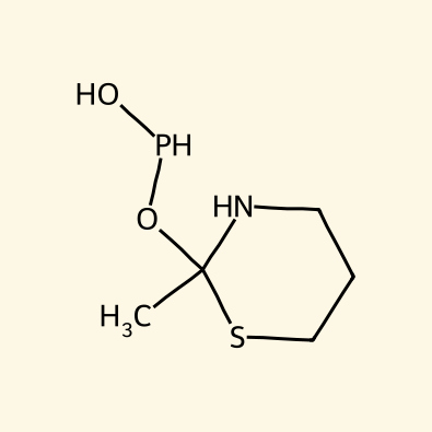 CC1(OPO)NCCCS1